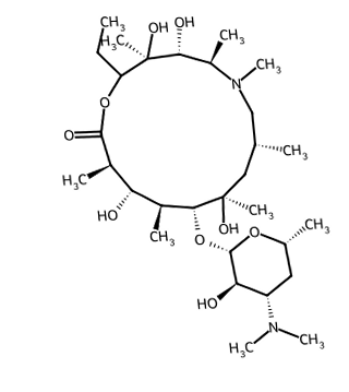 CCC1OC(=O)[C@H](C)[C@@H](O)[C@H](C)[C@@H](O[C@@H]2O[C@H](C)C[C@H](N(C)C)[C@H]2O)[C@](C)(O)C[C@@H](C)CN(C)[C@H](C)[C@@H](O)[C@]1(C)O